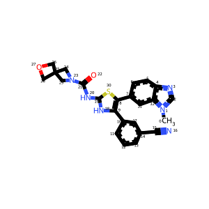 Cn1cnc2ccc(C3=C(c4cccc(C#N)c4)NC(NC(=O)N4CC5(COC5)C4)S3)cc21